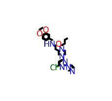 CCCCN1CCN(c2cc(Cl)nc(-n3ccnc3)n2)CC1CC(=O)NCc1ccc2c(c1)OCCO2